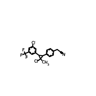 CC1(Cl)C(c2ccc(CC#N)cc2)C1c1cc(Cl)cc(C(F)(F)F)c1